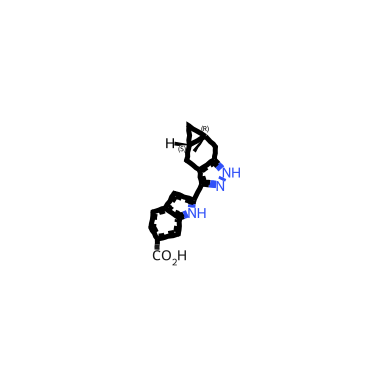 C[C@@]12Cc3[nH]nc(-c4cc5ccc(C(=O)O)cc5[nH]4)c3C[C@@H]1C2